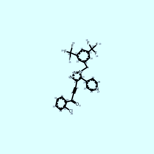 O=C(C#Cc1nnn(Cc2cc(C(F)(F)F)cc(C(F)(F)F)c2)c1-c1ccncc1)c1ccccc1Cl